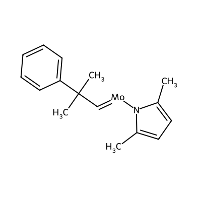 Cc1ccc(C)[n]1[Mo]=[CH]C(C)(C)c1ccccc1